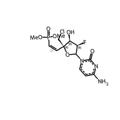 COP(=O)(/C=C\[C@@]1(CCl)OC(n2ccc(N)nc2=O)[C@H](F)[C@@H]1O)OC